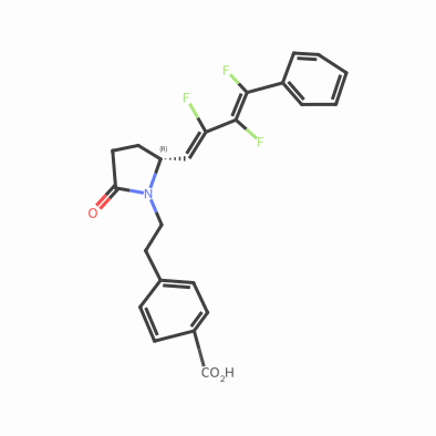 O=C(O)c1ccc(CCN2C(=O)CC[C@@H]2C=C(F)C(F)=C(F)c2ccccc2)cc1